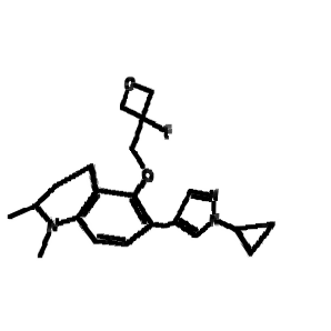 CC1CCc2c(ccc(-c3cnn(C4CC4)c3)c2OCC2(F)COC2)N1C